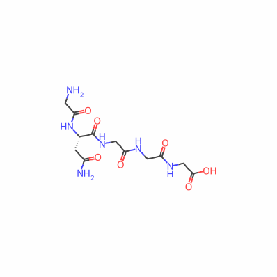 NCC(=O)N[C@@H](CC(N)=O)C(=O)NCC(=O)NCC(=O)NCC(=O)O